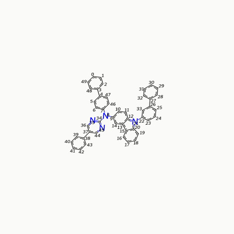 c1ccc(-c2ccc(N(c3ccc4c(c3)c3ccccc3n4-c3cccc(-c4ccccc4)c3)c3ncc(-c4ccccc4)cn3)cc2)cc1